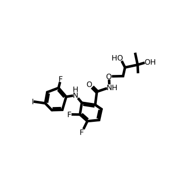 CC(C)(O)C(O)CONC(=O)c1ccc(F)c(F)c1Nc1ccc(I)cc1F